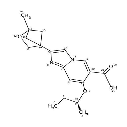 CC[C@H](C)Oc1cc2nc(C34COC(C)(C3)C4)cn2cc1C(=O)O